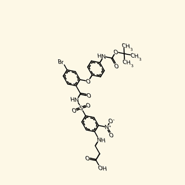 CC(C)(C)OC(=O)Nc1ccc(Oc2cc(Br)ccc2C(=O)NS(=O)(=O)c2ccc(NCCC(=O)O)c([N+](=O)[O-])c2)cc1